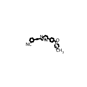 CN1CCN(C(=O)c2ccc(-c3ccc4nc(C#Cc5cccc(C#N)c5)cn4n3)cc2)CC1